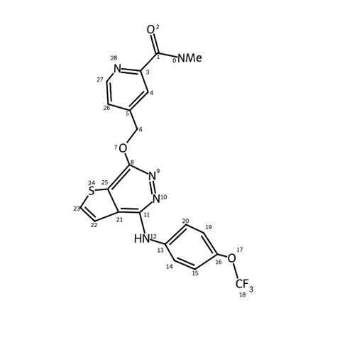 CNC(=O)c1cc(COc2nnc(Nc3ccc(OC(F)(F)F)cc3)c3ccsc23)ccn1